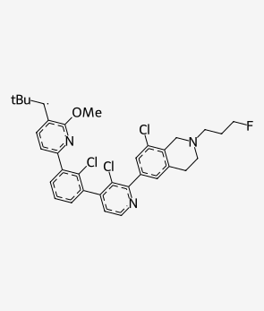 COc1nc(-c2cccc(-c3ccnc(-c4cc(Cl)c5c(c4)CCN(CCCF)C5)c3Cl)c2Cl)ccc1[CH]C(C)(C)C